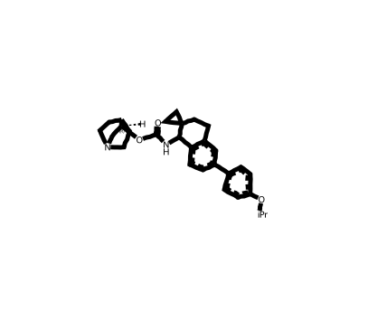 CC(C)Oc1ccc(-c2ccc3c(c2)CCC2(CC2)C3NC(=O)O[C@H]2CN3CCC2CC3)cc1